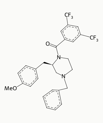 COc1ccc(C[C@@H]2CN(Cc3ccccc3)CCN2C(=O)c2cc(C(F)(F)F)cc(C(F)(F)F)c2)cc1